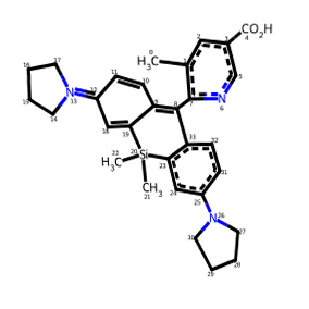 Cc1cc(C(=O)O)cnc1C1=C2C=CC(=[N+]3CCCC3)C=C2[Si](C)(C)c2cc(N3CCCC3)ccc21